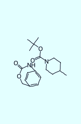 CC1CCN(C(=O)OC(C)(C)C)CC1.O=C1Nc2ccc(cc2)CO1